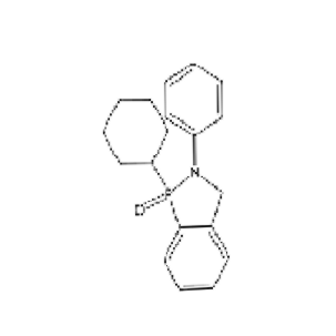 O=P1(C2CCCCC2)c2ccccc2CN1c1ccccc1